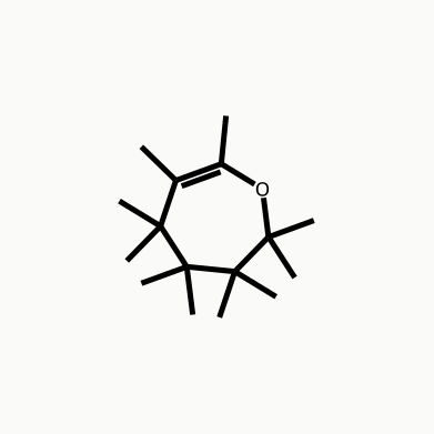 CC1=C(C)C(C)(C)C(C)(C)C(C)(C)C(C)(C)O1